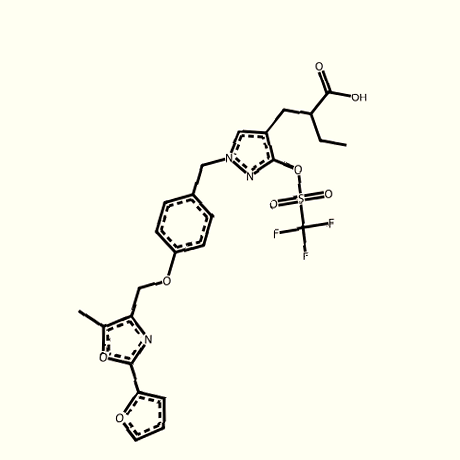 CCC(Cc1cn(Cc2ccc(OCc3nc(-c4ccco4)oc3C)cc2)nc1OS(=O)(=O)C(F)(F)F)C(=O)O